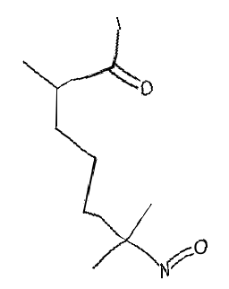 CC(CCCC(C)(C)N=O)C(=O)I